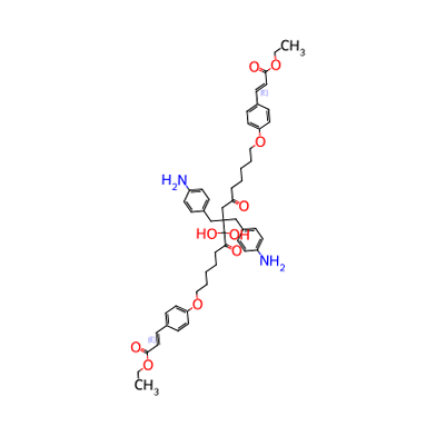 CCOC(=O)/C=C/c1ccc(OCCCCCC(=O)CC(Cc2ccc(N)cc2)(Cc2ccc(N)cc2)C(O)(O)C(=O)CCCCCOc2ccc(/C=C/C(=O)OCC)cc2)cc1